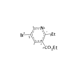 CCOC(=O)c1cc(Br)cnc1CC